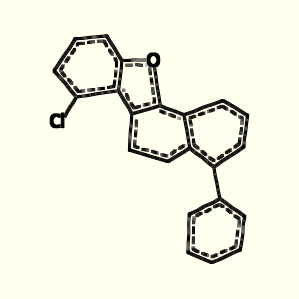 Clc1cccc2oc3c4cccc(-c5ccccc5)c4ccc3c12